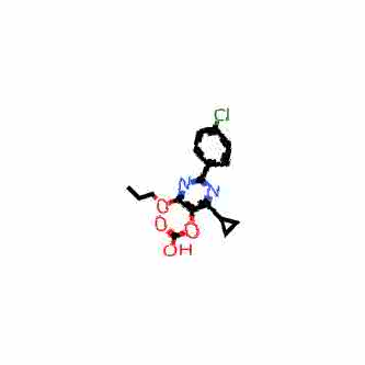 CCCOc1nc(-c2ccc(Cl)cc2)nc(C2CC2)c1OC(=O)O